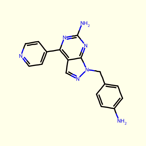 Nc1ccc(Cn2ncc3c(-c4ccncc4)nc(N)nc32)cc1